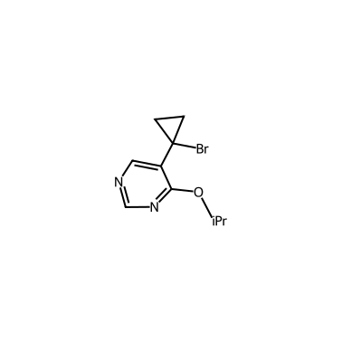 CC(C)Oc1ncncc1C1(Br)CC1